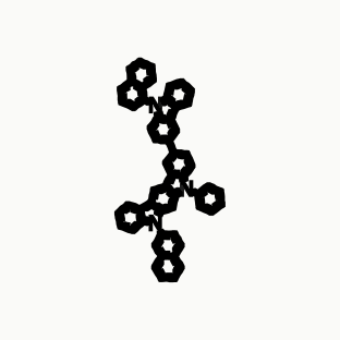 c1ccc(-n2c3ccc(-c4ccc5c(c4)c4ccccc4n5-c4cccc5ccccc45)cc3c3cc4c5ccccc5n(-c5ccc6ccccc6c5)c4cc32)cc1